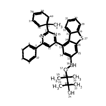 CC1(c2nc(C3=CCCC=C3)cc(-c3cc(BOC(C)(C)C(C)(C)O)cc4sc5ccccc5c34)n2)C=CC=CC1